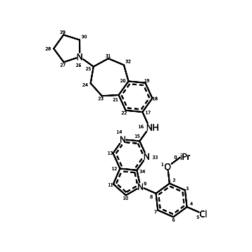 CC(C)Oc1cc(Cl)ccc1-n1ccc2cnc(Nc3ccc4c(c3)CCC(N3CCCC3)CC4)nc21